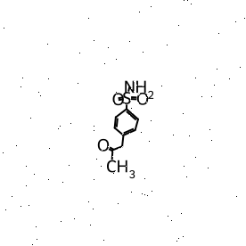 CC(=O)Cc1ccc(S(N)(=O)=O)cc1